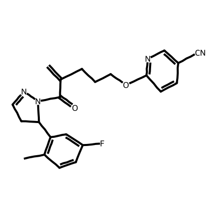 C=C(CCCOc1ccc(C#N)cn1)C(=O)N1N=CCC1c1cc(F)ccc1C